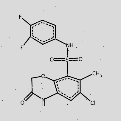 Cc1c(Cl)cc2c(c1S(=O)(=O)Nc1ccc(F)c(F)c1)OCC(=O)N2